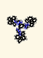 c1ccc(C2(c3ccccc3)c3ccccc3N(c3ccnc(-c4cc(-c5nccc(N6c7ccccc7C(c7ccccc7)(c7ccccc7)c7ccccc76)n5)cc(-c5nccc(N6c7ccccc7C(c7ccccc7)(c7ccccc7)c7ccccc76)n5)c4)n3)c3ccccc32)cc1